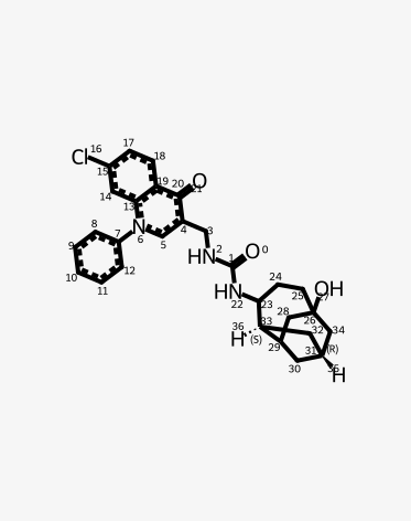 O=C(NCc1cn(-c2ccccc2)c2cc(Cl)ccc2c1=O)NC1CCC2(O)CC3C[C@H](C[C@@H]31)C2